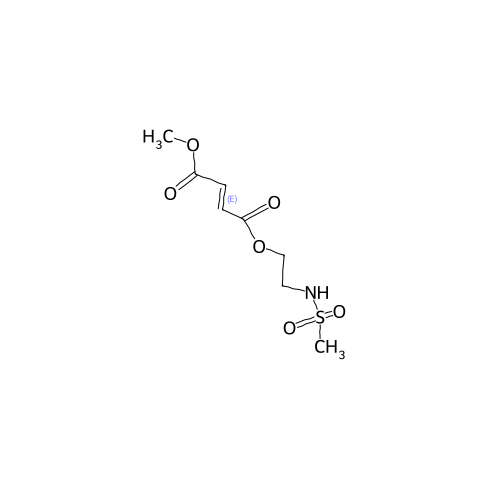 COC(=O)/C=C/C(=O)OCCNS(C)(=O)=O